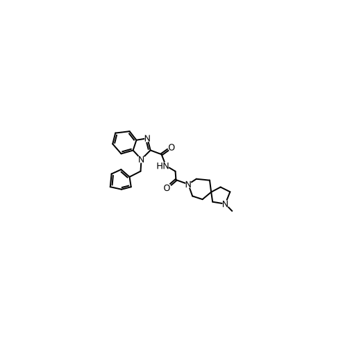 CN1CCC2(CCN(C(=O)CNC(=O)c3nc4ccccc4n3Cc3ccccc3)CC2)C1